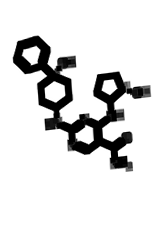 NC(=O)c1cnc(N[C@H]2CC[C@](O)(c3ccccc3)CC2)nc1NC1CCC[C@@H]1O